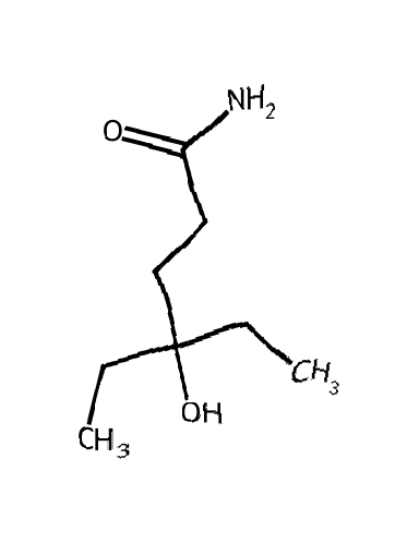 CCC(O)(CC)CCC(N)=O